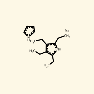 CCc1[nH]c(CC)c(CC)c1CC.[Ru].c1cc[nH]c1